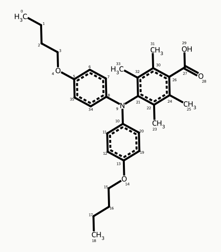 CCCCOc1ccc(N(c2ccc(OCCCC)cc2)c2c(C)c(C)c(C(=O)O)c(C)c2C)cc1